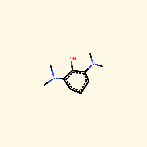 CN(C)c1cccc(N(C)C)c1O